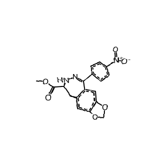 COC(=O)C1Cc2cc3c(cc2C(c2ccc([N+](=O)[O-])cc2)=NN1)OCO3